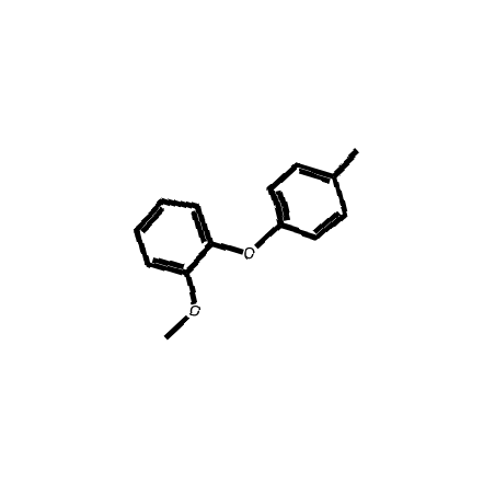 COc1ccccc1Oc1ccc(C)cc1